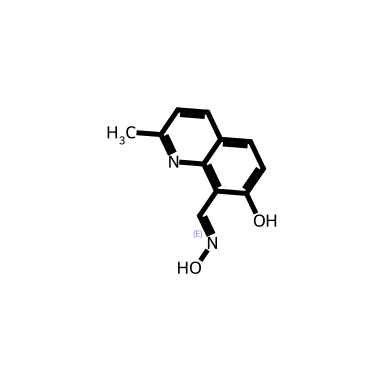 Cc1ccc2ccc(O)c(/C=N/O)c2n1